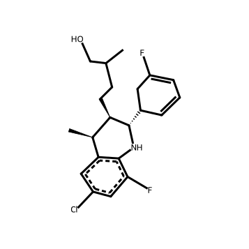 CC(CO)CC[C@@H]1[C@H](C)c2cc(Cl)cc(F)c2N[C@H]1C1C=CC=C(F)C1